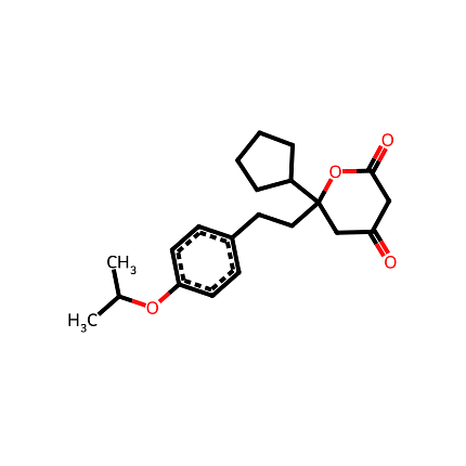 CC(C)Oc1ccc(CCC2(C3CCCC3)CC(=O)CC(=O)O2)cc1